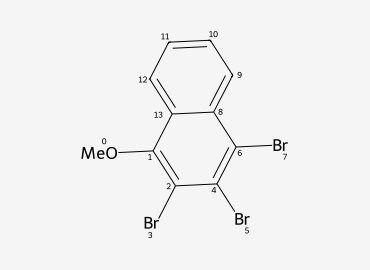 COc1c(Br)c(Br)c(Br)c2ccccc12